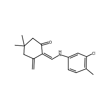 C=C1CC(C)(C)CC(=O)/C1=C\Nc1ccc(C)c(Cl)c1